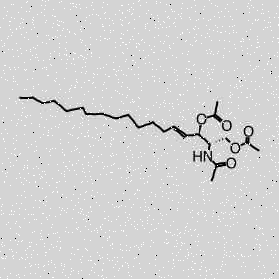 CCCCCCCCCCCCC/C=C/[C@@H](OC(C)=O)[C@H](COC(C)=O)NC(C)=O